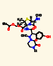 CCN1CCN(N(C=O)C(C(=O)N[C@@]2(C(=O)OCOC(=O)C(C)(C)C)N3C(=O)[C@H](NC=O)[C@H]3SC2(C)C)c2ccc(O)cc2)C(=O)C1=O